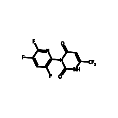 O=c1cc(C(F)(F)F)[nH]c(=O)n1-c1nc(F)c(F)cc1F